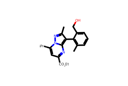 CCOC(=O)c1cc(C(C)C)n2nc(C)c(-c3c(C)cccc3CO)c2n1